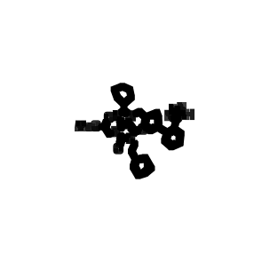 COC(=O)Cn1c(=O)n(CCc2ccccc2)c(=O)c2c1nc(C1CCCCC1)n2Cc1ccc(-c2ccccc2-c2nnn[nH]2)cc1